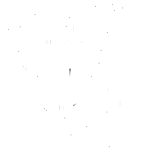 CC1(C)[C@H](O)CC[C@]2(C)C3=CC(=O)C(C#N)=C[C@]3(C#C[Si](C)(C)C)CC[C@@H]12